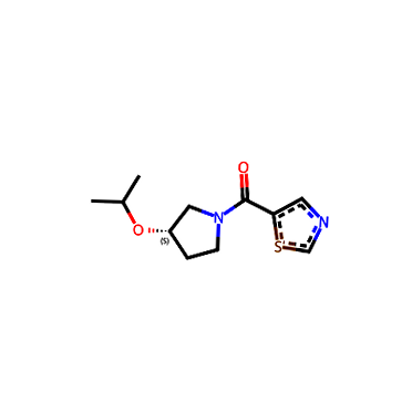 CC(C)O[C@H]1CCN(C(=O)c2cncs2)C1